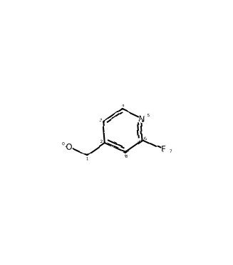 [O]Cc1ccnc(F)c1